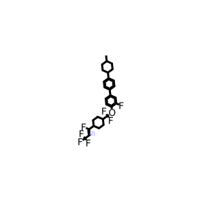 CC1CCC(c2ccc(-c3ccc(OC(F)(F)C4CCC(/C(F)=C/C(F)(F)F)CC4)c(F)c3)cc2)CC1